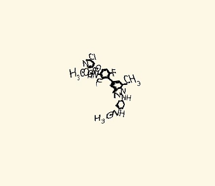 CCc1cc(-c2c(F)ccc(NS(=O)(=O)c3cc(Cl)cnc3OC)c2F)cc2cnc(NC3CCC(NC)CC3)nc12